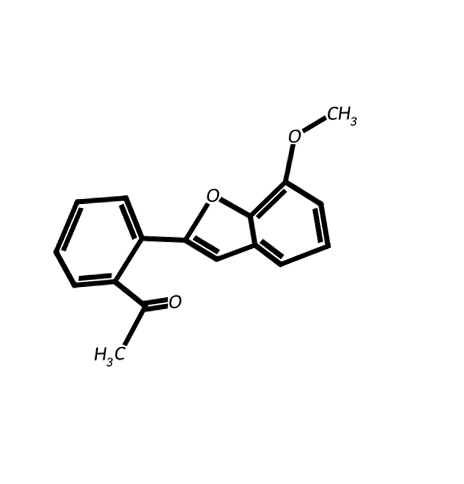 COc1cccc2cc(-c3ccccc3C(C)=O)oc12